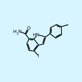 Cc1ccc(-c2cc3c(I)ccc(C(N)=O)c3[nH]2)cc1